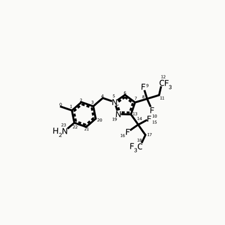 Cc1cc(Cn2cc(C(F)(F)CC(F)(F)F)c(C(F)(F)CC(F)(F)F)n2)ccc1N